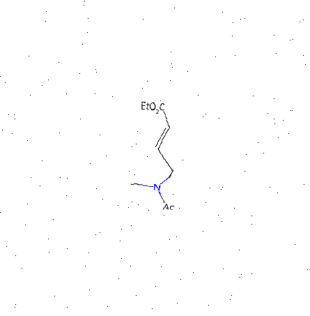 CCOC(=O)/C=C/CN(C)C(C)=O